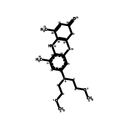 COCCN(CCOC)c1cc(C)c2c(c1)SC1=C(N2)C(C)=CC(=O)C1